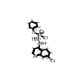 O=P(Cl)(NNc1ccnc2cc(Cl)ccc12)Oc1ccccc1